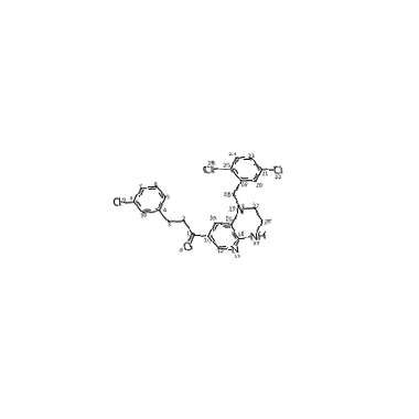 O=C(CCc1cccc(Cl)c1)c1cnc2c(c1)N(Cc1cc(Cl)ccc1Cl)CCN2